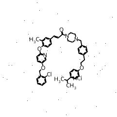 Cc1cc(C=CC(=O)N2CCN(Cc3ccc(CCOc4ccc(C(C)C)cc4)cc3)CC2)ccc1Oc1ccc(OCc2ccccc2Cl)cn1.Cl